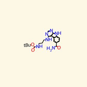 CC(C)(C)OC(=O)NCCCNc1ncnc2[nH]c3ccc(C(N)=O)cc3c12